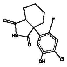 O=C1NC(=O)C2(c3cc(O)c(Cl)cc3F)CCCCC12